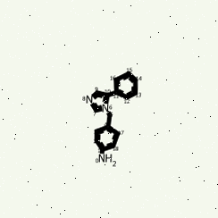 Nc1ccc(Cn2cncc2-c2ccccc2)cc1